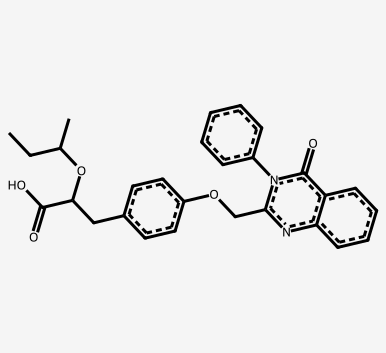 CCC(C)OC(Cc1ccc(OCc2nc3ccccc3c(=O)n2-c2ccccc2)cc1)C(=O)O